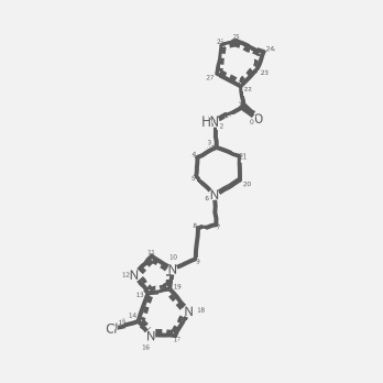 O=C(NC1CCN(CCCn2cnc3c(Cl)ncnc32)CC1)c1ccccc1